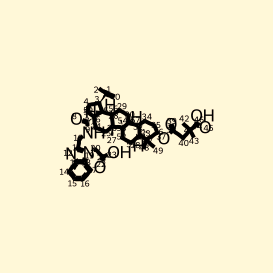 C=C(C)[C@@H]1CC[C@]2(C(=O)NCc3nc4ccccc4n3CC(=O)O)CC[C@]3(C)[C@H](CC[C@@H]4[C@@]5(C)CC[C@H](OC(=O)CC(C)(C)C(=O)O)C(C)(C)[C@@H]5CC[C@]43C)[C@@H]12